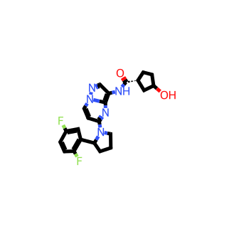 O=C(Nc1cnn2ccc(N3CCCC3c3cc(F)ccc3F)nc12)[C@@H]1CCC(O)C1